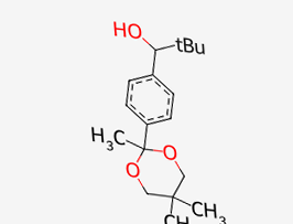 CC1(C)COC(C)(c2ccc(C(O)C(C)(C)C)cc2)OC1